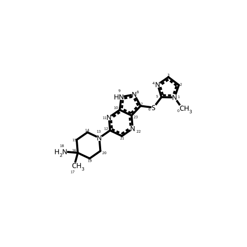 Cn1ccnc1Sc1n[nH]c2nc(N3CCC(C)(N)CC3)cnc12